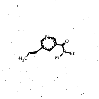 [CH2]/C=C/c1cncc(C(=O)N(CC)CC)c1